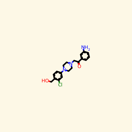 Nc1cccc(C(=O)CN2CCN(c3ccc(CO)c(Cl)c3)CC2)c1